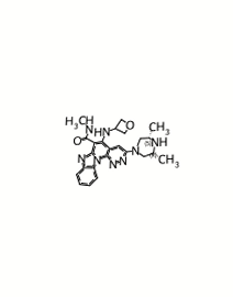 CNC(=O)c1c(NC2COC2)c2cc(N3C[C@@H](C)N[C@@H](C)C3)nnc2n2c1nc1ccccc12